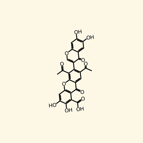 CC(=O)c1cc2c(=O)c3c(C(=O)O)c(O)c(O)cc3oc2c(C(C)=O)c1-c1coc2cc(O)c(O)cc2c1=O